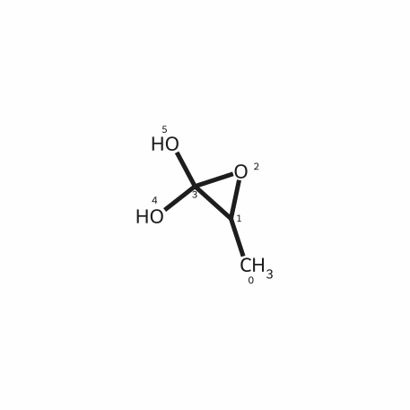 CC1OC1(O)O